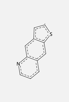 [c]1cc2cc3ncccc3cc2s1